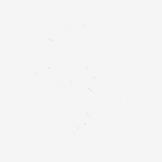 Cc1oc(N(Cc2cccc(C#N)c2)c2ccc(C#N)cc2)nc1C(=O)N[S+](C)[O-]